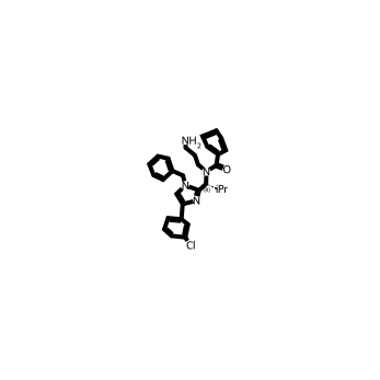 CC(C)[C@H](c1nc(-c2cccc(Cl)c2)cn1Cc1ccccc1)N(CCCN)C(=O)c1ccccc1